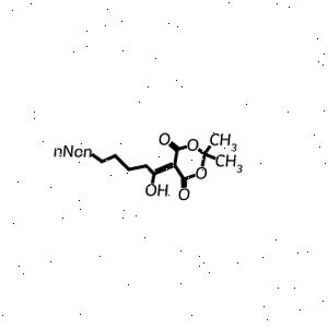 CCCCCCCCCCCCCC(O)=C1C(=O)OC(C)(C)OC1=O